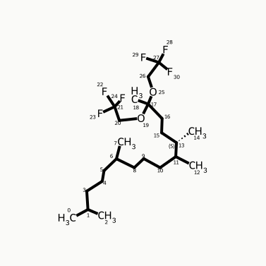 CC(C)CCCC(C)CCCC(C)[C@@H](C)CCC(C)(OCC(F)(F)F)OCC(F)(F)F